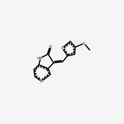 CSc1csc(C=C2C(=O)Nc3ccncc32)c1